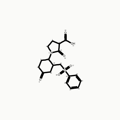 O=C1CCC(N2CCC(C(=O)O)C2=O)C(CS(=O)(=O)c2ccccc2)C1